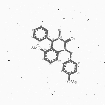 COc1ccc(CN2C(=O)N(C)C(c3ccccc3)c3c(OC)cccc32)cc1